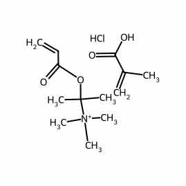 C=C(C)C(=O)O.C=CC(=O)OC(C)(C)[N+](C)(C)C.Cl